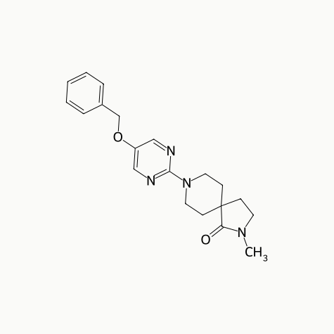 CN1CCC2(CCN(c3ncc(OCc4ccccc4)cn3)CC2)C1=O